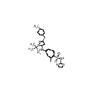 Cc1ccc(Cc2cc(Nc3ccc(S(=O)(=O)Nc4nccs4)c(F)c3)n(C(C)(C)C)n2)cc1